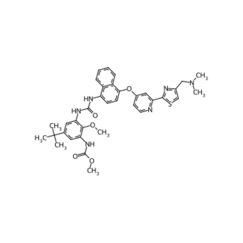 COC(=O)Nc1cc(C(C)(C)C)cc(NC(=O)Nc2ccc(Oc3ccnc(-c4nc(CN(C)C)cs4)c3)c3ccccc23)c1OC